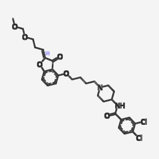 COCOCC/C=C1\Oc2cccc(OCCCCN3CCC(NC(=O)c4ccc(Cl)c(Cl)c4)CC3)c2C1=O